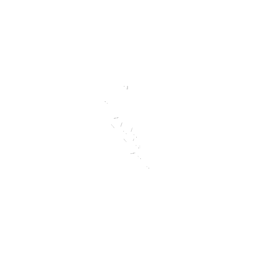 NC[C@H]1CC[C@@H](NCCc2ccc(-n3ccc(NC(=O)N4CCNCC4)nc3=O)cc2)C1